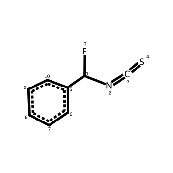 FC(N=C=S)c1ccccc1